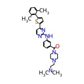 Cc1cccc(C)c1-c1ccc(-c2ccnc(Nc3cccc(C(=O)N4CCN(CCN(C)C)CC4)c3)n2)s1